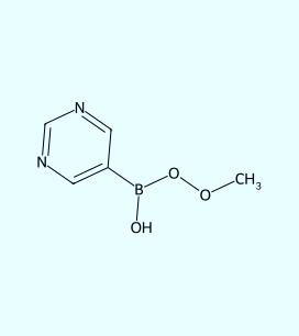 COOB(O)c1cncnc1